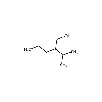 CCC[C](CO)C(C)C